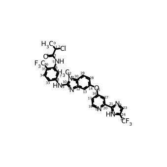 CC(Cl)C(=O)Nc1cc(Nc2nc3cc(Oc4ccnc(-c5ncc(C(F)(F)F)[nH]5)c4)ccc3n2C)ccc1C(F)(F)F